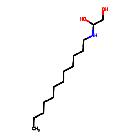 CCCCCCCCCCCCNC(O)CO